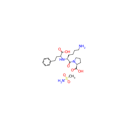 CS(N)(=O)=O.NCCCC[C@H](NC(CCc1ccccc1)C(=O)O)C(=O)N1CCC[C@H]1C(=O)O